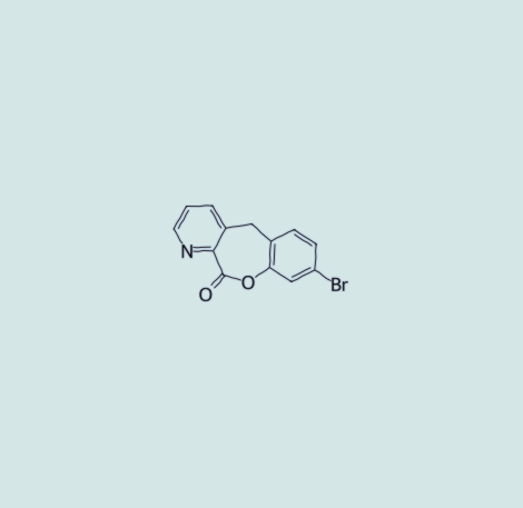 O=C1Oc2cc(Br)ccc2Cc2cccnc21